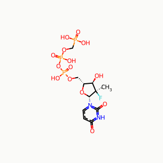 C[C@@]1(F)[C@H](O)[C@@H](COP(=O)(O)OP(=O)(O)OCP(=O)(O)O)O[C@H]1n1ccc(=O)[nH]c1=O